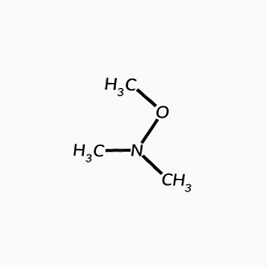 CON(C)C